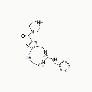 O=C(c1cc2c(s1)/C=C\C/C=N\C(NCc1ccccc1)=N/C2)N1CCNCC1